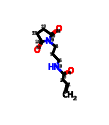 C=CCC(=O)NCCCN1C(=O)CCC1=O